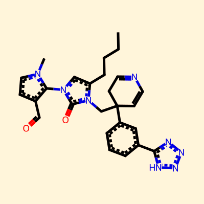 CCCCc1cn(-c2c(C=O)ccn2C)c(=O)n1CC1(c2cccc(-c3nnn[nH]3)c2)C=CN=CC1